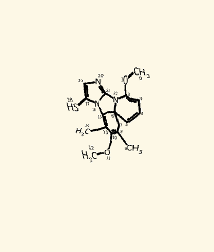 COC1=CC=CC23CC(C)=C(OC)C(C)=C2n2c(S)cnc2N13